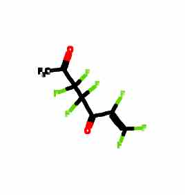 O=C(C(F)=C(F)F)C(F)(F)C(F)(F)C(=O)C(F)(F)F